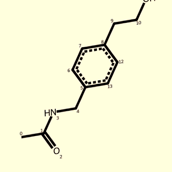 CC(=O)NCc1ccc(CCO)cc1